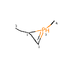 CC1C=[PH]1C